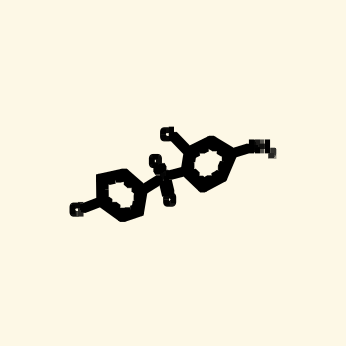 Nc1ccc(S(=O)(=O)c2ccc(Cl)cc2)c(Cl)c1